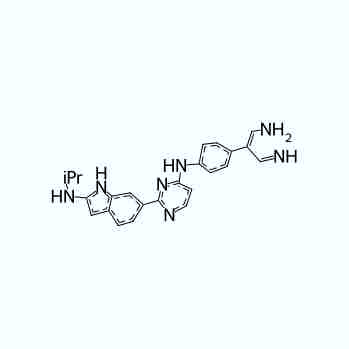 CC(C)Nc1cc2ccc(-c3nccc(Nc4ccc(/C(C=N)=C/N)cc4)n3)cc2[nH]1